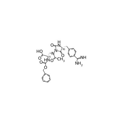 CC(=O)N(C[C@H](NC(=O)OCc1ccccc1)C(=O)O)N1C(=O)N[C@H](Cc2ccc(C(=N)N)cc2)C1=O